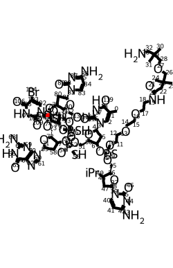 Cc1cn([C@H]2CC(OP(=S)(OCCOCCOCCNC(=O)CC(C)(C)COCC(C)(C)CN)OC[C@H]3O[C@@H](n4ccc(N)nc4=O)CC3C(C)C)[C@@H](COP(=O)(S)OC3C[C@H](n4cnc5c(=O)[nH]c(N)nc54)O[C@@H]3COP(=S)(S)OC3C[C@H](n4ccc(N)nc4=O)O[C@@H]3COP(=O)(S)OC3C[C@H](n4cc(Br)c(=O)[nH]c4=O)O[C@@H]3CO)O2)c(=O)[nH]c1=O